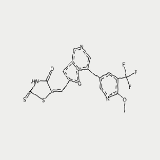 COc1ncc(-c2cncc3cc(C=C4SC(=S)NC4=O)oc23)cc1C(F)(F)F